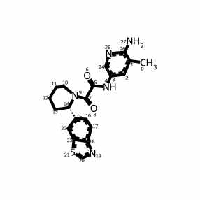 Cc1cc(NC(=O)C(=O)N2CCCC[C@H]2c2ccc3ncsc3c2)cnc1N